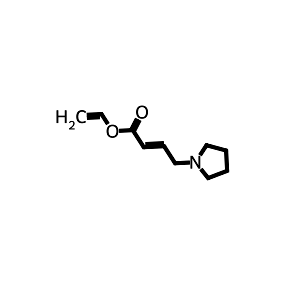 C=COC(=O)C=CCN1CCCC1